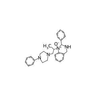 CC(CN1CCN(c2ccccc2)CC1)[N+]1([O-])c2ccccc2CNC1c1ccccc1